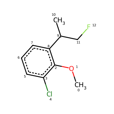 COc1c(Cl)cccc1[C](C)CF